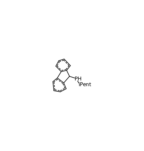 CCCC(C)PC1c2ccccc2-c2ccccc21